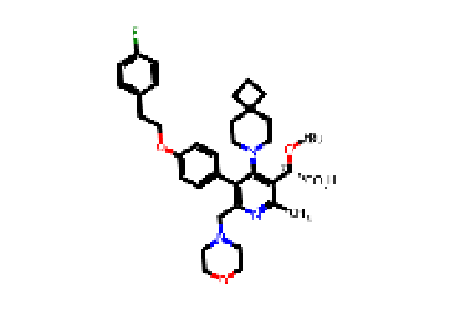 Cc1nc(CN2CCOCC2)c(-c2ccc(OCCc3ccc(F)cc3)cc2)c(N2CCC3(CCC3)CC2)c1[C@H](OC(C)(C)C)C(=O)O